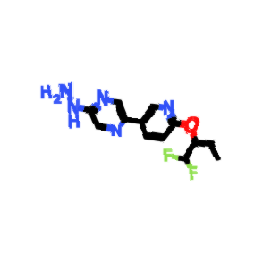 CCC(Oc1ccc(-c2cnc(NN)cn2)cn1)C(F)F